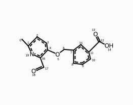 Cc1ccc(OCc2cccc(C(=O)O)c2)c(C=O)n1